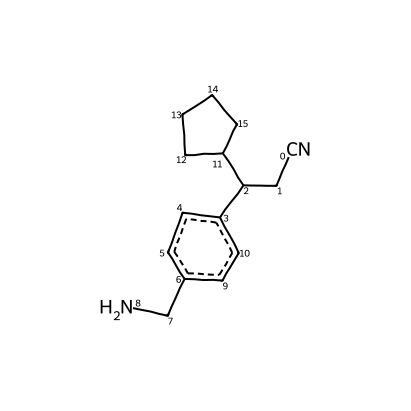 N#CCC(c1ccc(CN)cc1)C1CCCC1